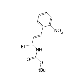 CC[C@H](C=Cc1ccccc1[N+](=O)[O-])NC(=O)OC(C)(C)C